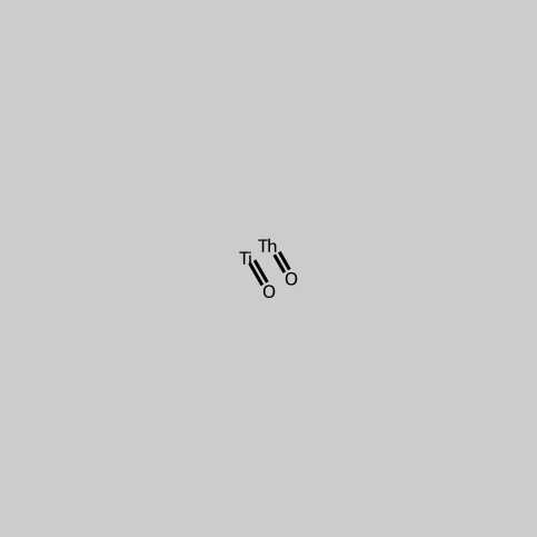 [O]=[Th].[O]=[Ti]